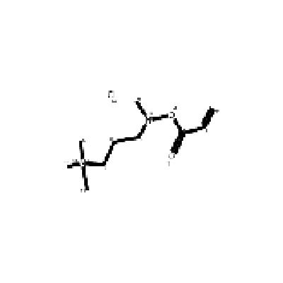 C=CC(=O)ON(C)CCC[N+](C)(C)C.[Cl-]